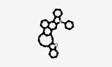 c1ccc(-n2c3ccccc3c3c4cccc5c6ccccc7c(cc(c6)c(cc32)c54)oc2ccccc27)cc1